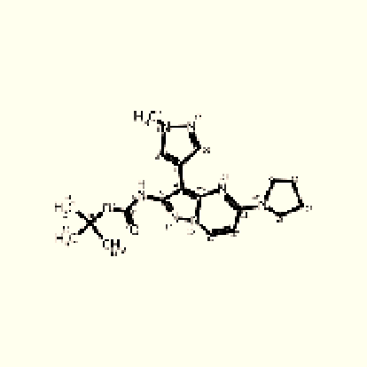 Cn1cc(-c2c(NC(=O)OC(C)(C)C)nn3ccc(N4CCCC4)nc23)cn1